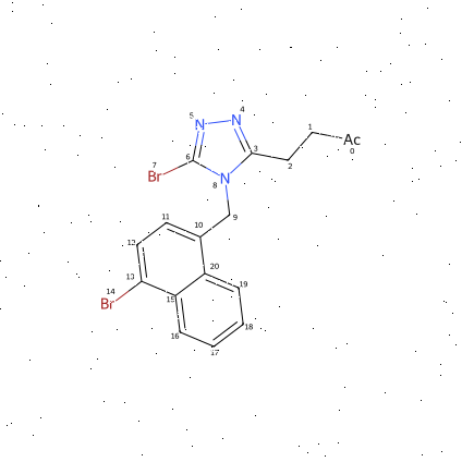 CC(=O)CCc1nnc(Br)n1Cc1ccc(Br)c2ccccc12